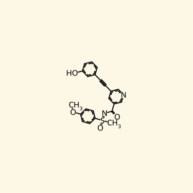 COc1ccc(S(C)(=O)=NC(=O)c2cncc(C#Cc3cccc(O)c3)c2)cc1